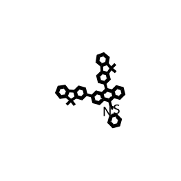 CC1(C)c2ccccc2-c2ccc(-c3ccc4c(-c5nc6ccccc6s5)c5ccccc5c(-c5ccc6c(c5)C(C)(C)c5ccccc5-6)c4c3)cc21